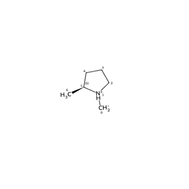 [CH2-][NH+]1CCC[C@@H]1C